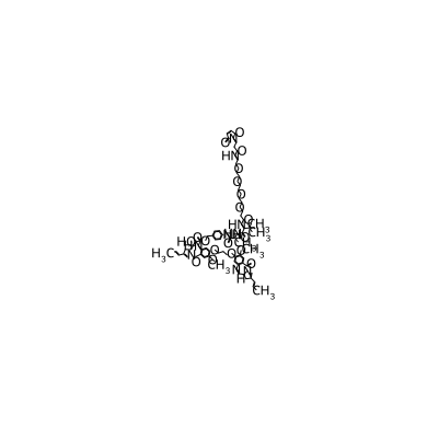 C/C=C/C1=CN2C(=O)c3cc(OC)c(OCCCOc4cc5c(cc4OC)C(=O)N4C=C(/C=C/C)C[C@H]4[C@H](O)N5C(=O)OCc4ccc(NC(=O)[C@H](C)NC(=O)C(NC(=O)CCOCCOCCOCCOCCNC(=O)CCN5C(=O)C=CC5=O)C(C)C)cc4)cc3N=C[C@@H]2C1